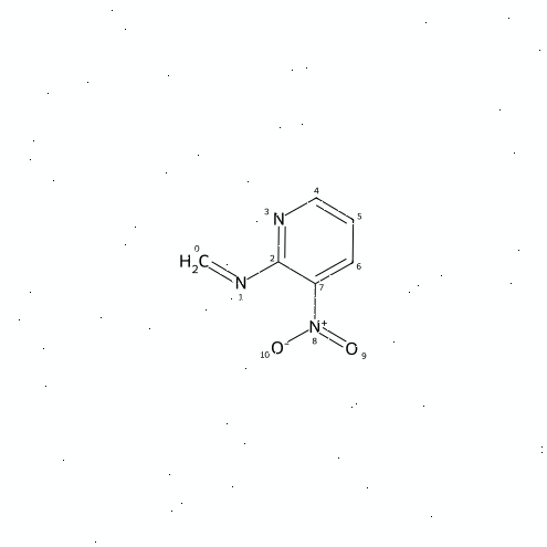 C=Nc1ncccc1[N+](=O)[O-]